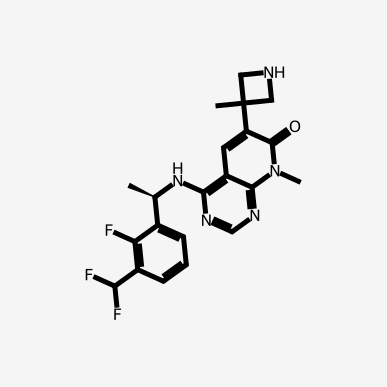 C[C@@H](Nc1ncnc2c1cc(C1(C)CNC1)c(=O)n2C)c1cccc(C(F)F)c1F